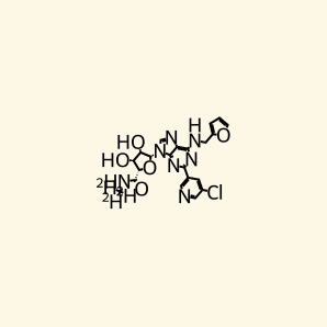 [2H]C([2H])([2H])NC(=O)[C@H]1O[C@@H](n2cnc3c(NCc4ccco4)nc(-c4cncc(Cl)c4)nc32)[C@H](O)[C@@H]1O